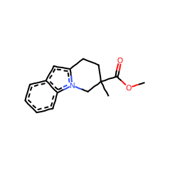 COC(=O)C1(C)CCc2cc3ccccc3n2C1